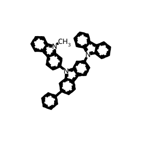 Cn1c2ccccc2c2ccc(-n3c4cc(-c5ccccc5)ccc4c4ccc(-n5c6ccccc6c6ccccc65)cc43)cc21